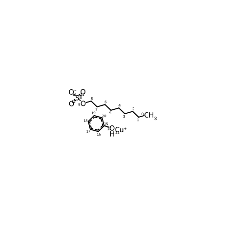 CCCCCCCCCOS(=O)(=O)[O-].Oc1ccccc1.[Cu+]